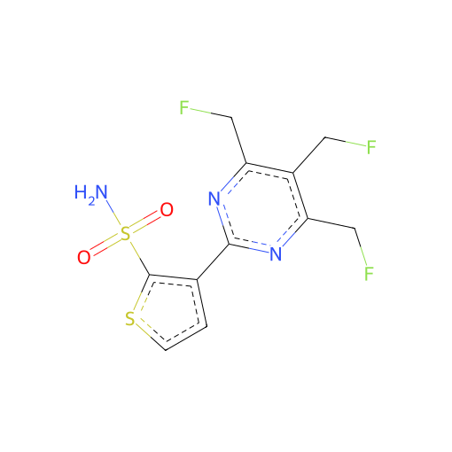 NS(=O)(=O)c1sccc1-c1nc(CF)c(CF)c(CF)n1